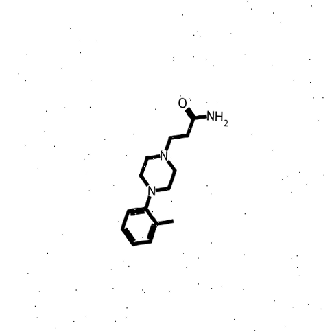 Cc1ccccc1N1CCN(CCC(N)=O)CC1